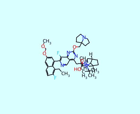 CCc1c(F)ccc2cc(OCOC)cc(-c3ncc4c(CC(C)(C)N5C[C@H]6CC[C@@H](C5)[C@@H]6N(C(=O)O)C(C)(C)C)nc(OCC56CCCN5CCC6)nc4c3F)c12